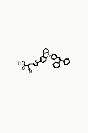 N#C/C(=C\c1ccc(-c2ccc3c(c2)C2CCCC2N3c2ccc(C=C(c3ccccc3)c3ccccc3)cc2)s1)C(=O)O